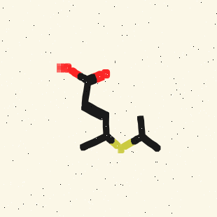 CC(C)SC(C)C=CC(=O)O